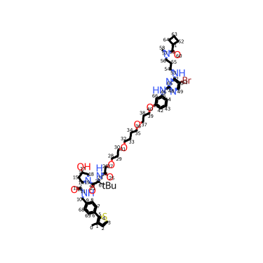 Cc1ccsc1-c1ccc(CNC(=O)[C@@H]2C[C@@H](O)CN2C(=O)[C@@H](NC(=O)COCCCOCCCCOCCCOc2cccc(Nc3ncc(Br)c(NCCCN(C)C(=O)C4CCC4)n3)c2)C(C)(C)C)cc1